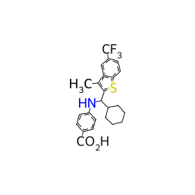 Cc1c(C(Nc2ccc(C(=O)O)cc2)C2CCCCC2)sc2ccc(C(F)(F)F)cc12